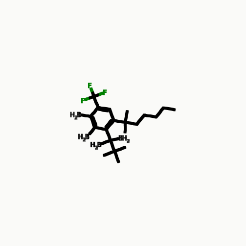 Bc1c(C(F)(F)F)cc(C(C)(C)CCCCC)c(C(B)(B)C(C)(C)C)c1B